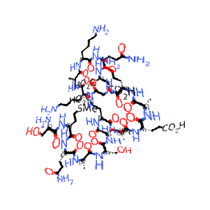 CSCC[C@H](NC(=O)[C@@H](N)CO)C(=O)N[C@@H](CCC(N)=O)C(=O)N[C@@H](C)C(=O)N[C@@H](CO)C(=O)N[C@@H](CC(C)C)C(=O)N[C@@H](CCC(=O)O)C(=O)N[C@@H](C)C(=O)N[C@@H](CCC(=O)O)C(=O)N[C@@H](C)C(=O)N[C@@H](CCCCN)C(=O)NCC(=O)N[C@@H](CCCCN)C(=O)N[C@@H](C)C(=O)N[C@@H](CCCCN)C(=O)N[C@@H](CCC(N)=O)C(=O)N[C@@H](CC(=O)O)C(=O)O